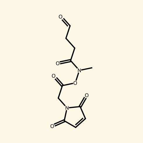 CN(OC(=O)CN1C(=O)C=CC1=O)C(=O)CCC=O